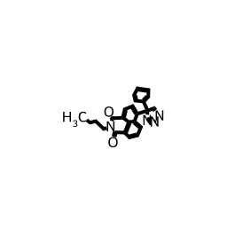 CCCCN1C(=O)c2cccc3c(C4(c5ccccc5)C=NN=N4)ccc(c23)C1=O